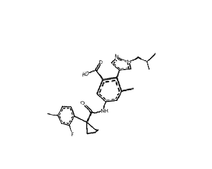 Cc1ccc(C2(C(=O)Nc3cc(C)c(-c4cnn(CC(C)C)c4)c(C(=O)O)c3)CC2)c(F)c1